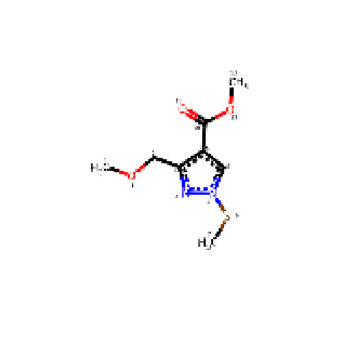 COCc1nn(SC)cc1C(=O)OC